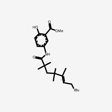 COC(=O)c1cc(NC(=O)C(C)(C)CC(C)(C)/C(C)=C/CC(C)(C)C)ccc1O